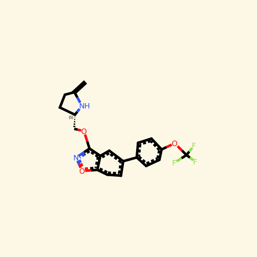 C=C1CC[C@@H](COc2noc3ccc(-c4ccc(OC(F)(F)F)cc4)cc23)N1